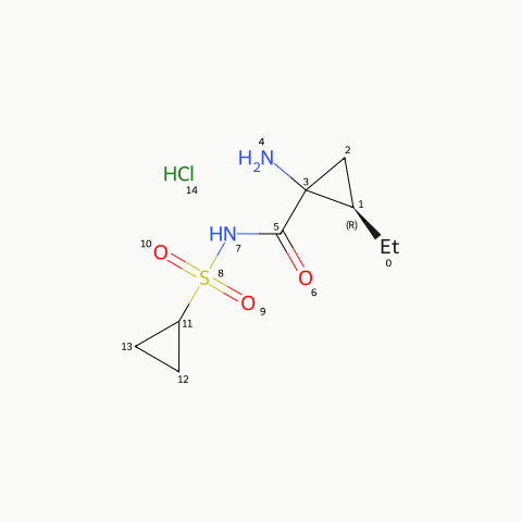 CC[C@@H]1CC1(N)C(=O)NS(=O)(=O)C1CC1.Cl